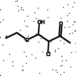 CCOC(O)C(Cl)C(C)=O